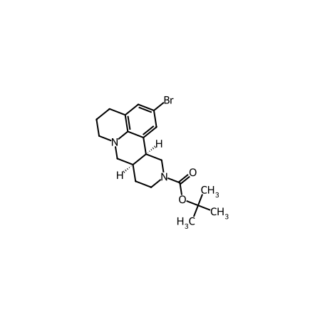 CC(C)(C)OC(=O)N1CC[C@H]2CN3CCCc4cc(Br)cc(c43)[C@H]2C1